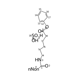 CCCCCCCCCC(=O)NCCCCCC(=O)Oc1ccccc1.O=S(=O)(O)O